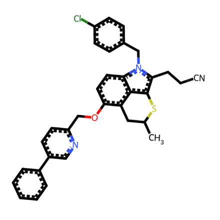 CC1Cc2c(OCc3ccc(-c4ccccc4)cn3)ccc3c2c(c(CCC#N)n3Cc2ccc(Cl)cc2)S1